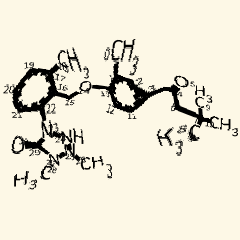 Cc1cc(C(=O)CC(C)(C)C)ccc1OCc1c(C)cccc1N1NN(C)N(C)C1=O